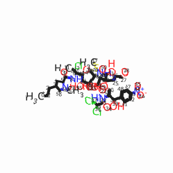 CCCC1CC(C(=O)N[C@H](C(C)Cl)[C@H]2O[C@H](SC)[C@H](C(N)(C(=O)O)C(CCC=O)(OCC(NC(=O)C(Cl)Cl)C(O)c3ccc([N+](=O)[O-])cc3)C(=O)O)[C@H](O)[C@H]2O)N(C)C1